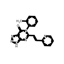 Cc1ccccc1-n1c(C=Cc2ccccn2)nc2[nH]nnc2c1=O